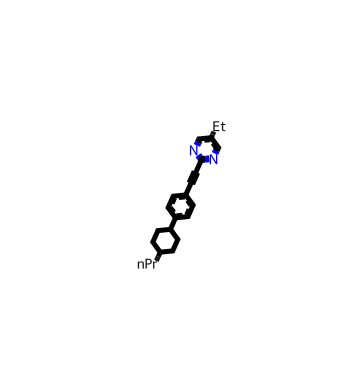 CCCC1CCC(c2ccc(C#Cc3ncc(CC)cn3)cc2)CC1